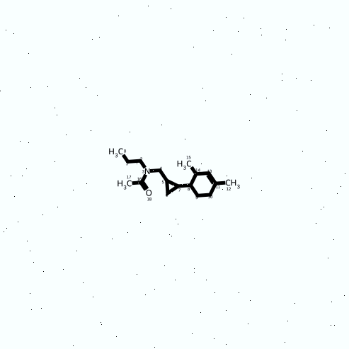 CCCN(CC1CC1C1CCC(C)=CC1C)C(C)=O